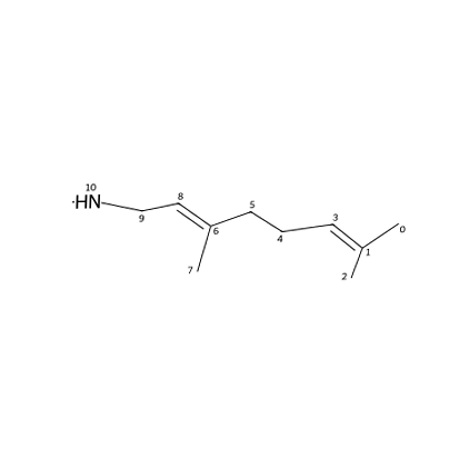 CC(C)=CCC/C(C)=C/C[NH]